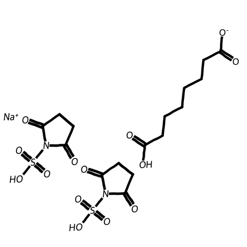 O=C([O-])CCCCCCC(=O)O.O=C1CCC(=O)N1S(=O)(=O)O.O=C1CCC(=O)N1S(=O)(=O)O.[Na+]